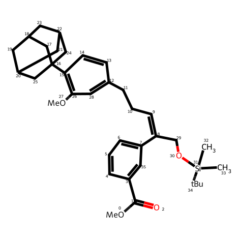 COC(=O)c1cccc(C(=CCCc2ccc(C34CC5CC(CC(C5)C3)C4)c(OC)c2)CO[Si](C)(C)C(C)(C)C)c1